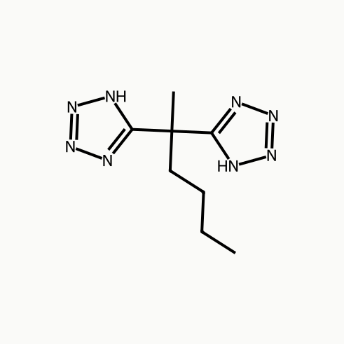 CCCCC(C)(c1nnn[nH]1)c1nnn[nH]1